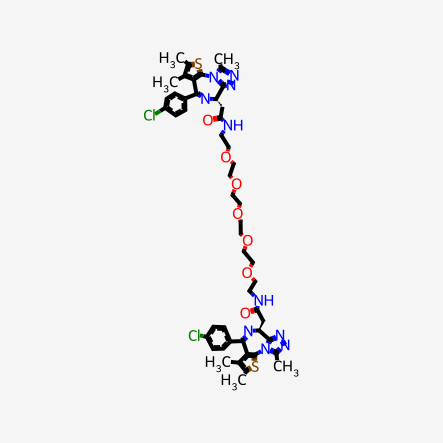 Cc1sc2c(c1C)C(c1ccc(Cl)cc1)=N[C@@H](CC(=O)NCCOCCOCCOCCOCCOCCNC(=O)C[C@@H]1N=C(c3ccc(Cl)cc3)c3c(sc(C)c3C)-n3c(C)nnc31)c1nnc(C)n1-2